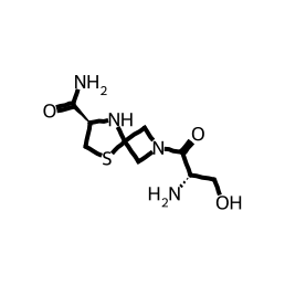 NC(=O)[C@@H]1CSC2(CN(C(=O)[C@@H](N)CO)C2)N1